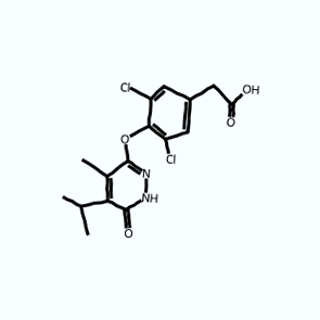 Cc1c(Oc2c(Cl)cc(CC(=O)O)cc2Cl)n[nH]c(=O)c1C(C)C